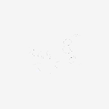 COc1ccc2c(OC3CC4C(=O)N(C)CCCC/C=C\[C@@H]5C[C@@]5(C(=O)NS(=O)(=O)C5(C)CC5)NC(=O)[C@@H]4C3)cc(-c3nc(C(C)C)cs3)nc2c1C